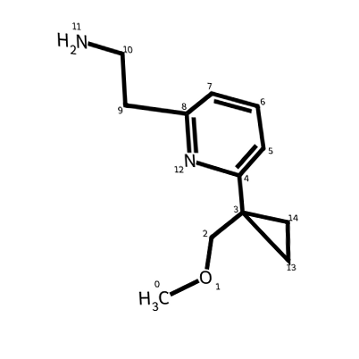 COCC1(c2cccc(CCN)n2)CC1